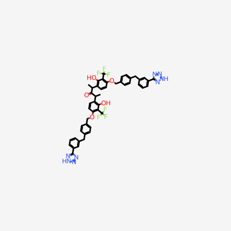 CC(C(=O)C(C)c1ccc(OCc2ccc(Cc3cccc(-c4nn[nH]n4)c3)cc2)c(C(F)(F)F)c1O)c1ccc(OCc2ccc(Cc3cccc(-c4nn[nH]n4)c3)cc2)c(C(F)(F)F)c1O